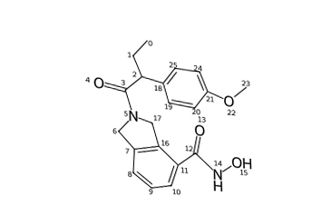 CCC(C(=O)N1Cc2cccc(C(=O)NO)c2C1)c1ccc(OC)cc1